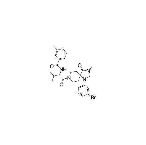 Cc1cccc(C(=O)N[C@@H](C(=O)N2CCC3(CC2)C(=O)N(C)CN3c2cccc(Br)c2)C(C)C)c1